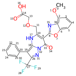 COc1cccc2oc(-c3c(COCC(=O)O)[nH]c4c(-c5ccccc5)c(C(F)(F)F)nn4c3=O)nc12